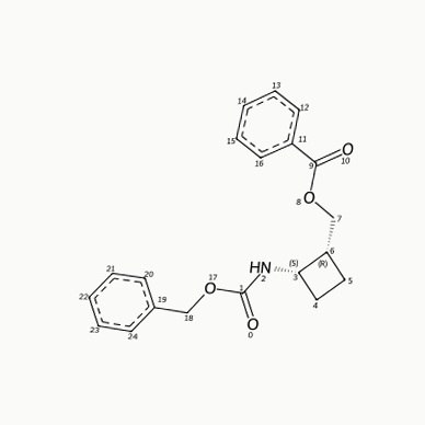 O=C(N[C@H]1CC[C@H]1COC(=O)c1ccccc1)OCc1ccccc1